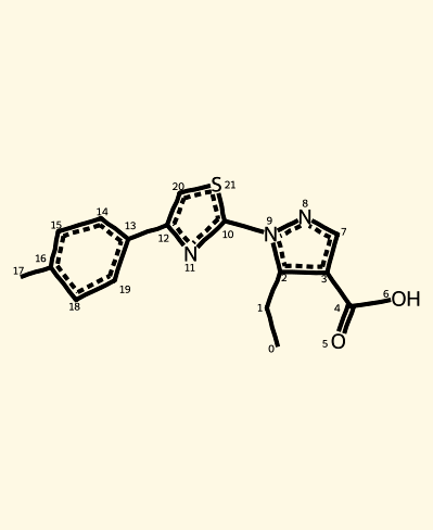 CCc1c(C(=O)O)cnn1-c1nc(-c2ccc(C)cc2)cs1